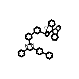 C1=CC2c3ccccc3C3(c4ccccc4Oc4c(-c5cccc(-c6cccc(-c7nc(-c8ccccc8)cc(-c8ccc(-c9ccccc9)cc8)n7)c6)c5)cccc43)C2C=C1